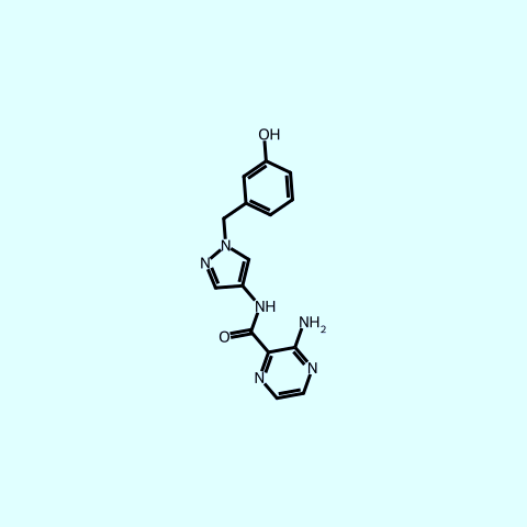 Nc1nccnc1C(=O)Nc1cnn(Cc2cccc(O)c2)c1